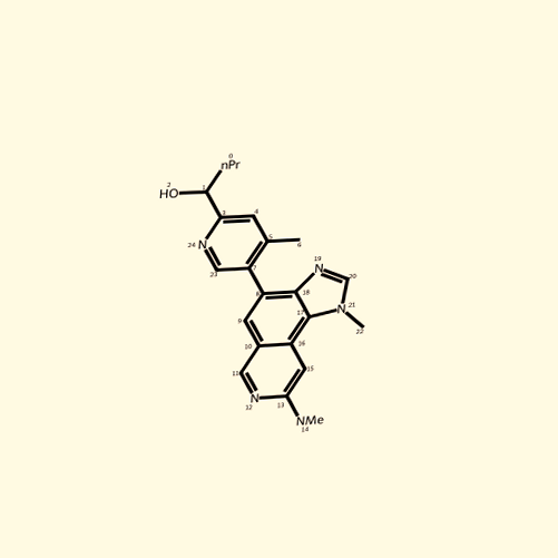 CCCC(O)c1cc(C)c(-c2cc3cnc(NC)cc3c3c2ncn3C)cn1